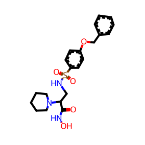 O=C(NO)C(CNS(=O)(=O)c1ccc(OCc2ccccc2)cc1)N1CCCCC1